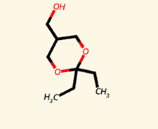 CCC1(CC)OCC(CO)CO1